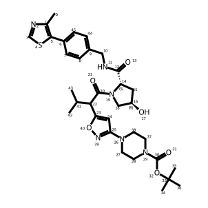 Cc1ncsc1-c1ccc(CNC(=O)[C@@H]2C[C@@H](O)CN2C(=O)C(c2cc(N3CCN(C(=O)OC(C)(C)C)CC3)no2)C(C)C)cc1